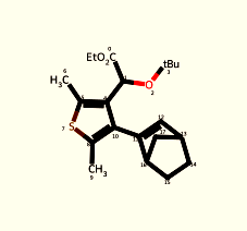 CCOC(=O)C(OC(C)(C)C)c1c(C)sc(C)c1C1=CC2CCC1C2